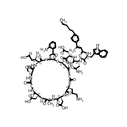 CCCCCc1ccc(/C(C)=C/C(=O)N[C@@H](Cc2c[nH]c3ccccc23)C(=O)N[C@H](CC(N)=O)C(=O)N[C@@H](CC(=O)O)C(=O)N[C@@H]2C(=O)NCC(=O)N[C@@H](CCCN)C(=O)N[C@@H](CC(=O)O)C(=O)N[C@H](C)C(=O)N[C@@H](CC(=O)O)C(=O)NCC(=O)N[C@H](CO)C(=O)N[C@@H]([C@H](C)CC(=O)O)C(=O)N[C@@H](CC(=O)c3ccccc3N)C(=O)O[C@@H]2C)cc1